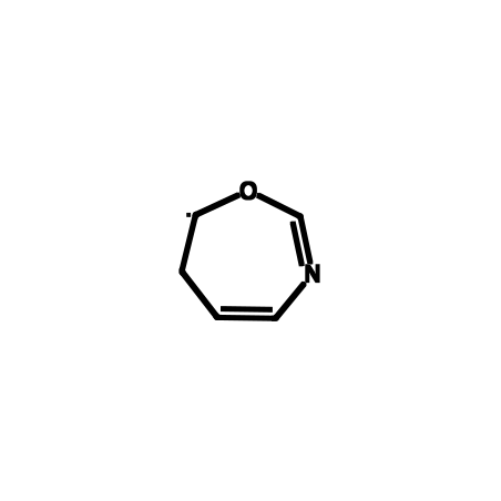 [CH]1CC=CN=CO1